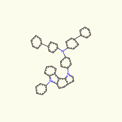 c1ccc(-c2ccc(N(c3ccc(-c4ccccc4)cc3)c3ccc(-n4ccc5ccc6c(c7ccccc7n6-c6ccccc6)c54)cc3)cc2)cc1